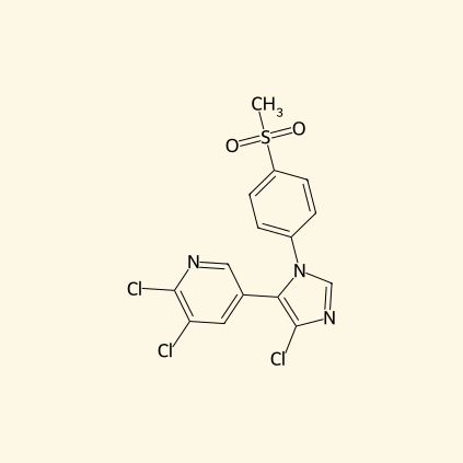 CS(=O)(=O)c1ccc(-n2cnc(Cl)c2-c2cnc(Cl)c(Cl)c2)cc1